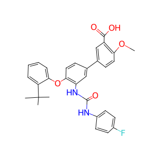 COc1ccc(-c2ccc(Oc3ccccc3C(C)(C)C)c(NC(=O)Nc3ccc(F)cc3)c2)cc1C(=O)O